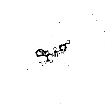 CC[N@@+]1(C)C2CCC1c1c(sc(NC(=O)Nc3ccc(Cl)cc3)c1C(N)=O)C2